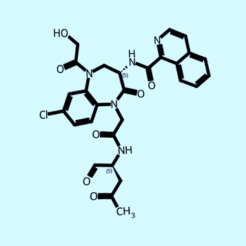 CC(=O)C[C@@H](C=O)NC(=O)CN1C(=O)[C@@H](NC(=O)c2nccc3ccccc23)CN(C(=O)CO)c2cc(Cl)ccc21